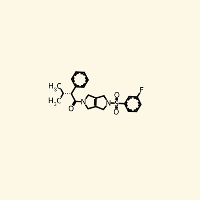 CC(C)[C@@H](C(=O)N1CC2=C(C1)CN(S(=O)(=O)c1cccc(F)c1)C2)c1ccccc1